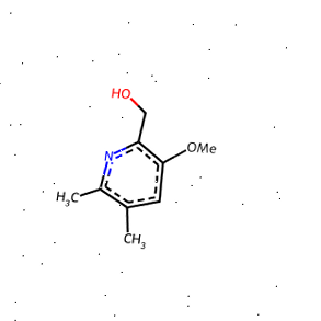 COc1cc(C)c(C)nc1CO